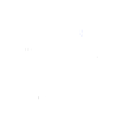 Cc1ccc(CC2(C)CNc3ccc(C)cc3C2)cc1